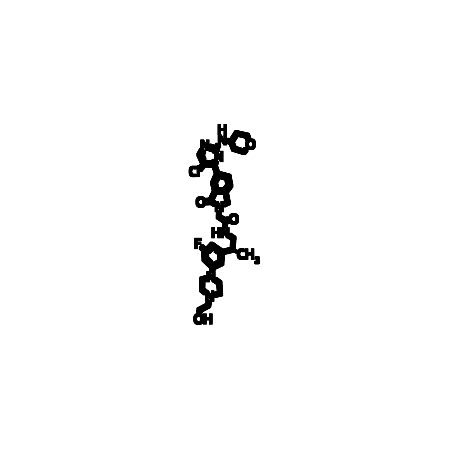 C[C@@H](CNC(=O)CN1Cc2ccc(-c3nc(NC4CCOCC4)ncc3Cl)cc2C1=O)c1cc(F)cc(N2CCN(CCO)CC2)c1